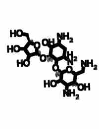 NCC1O[C@H](OC2C(N)CC(N)C(O)[C@H]2O[C@@H]2O[C@H](CO)C(O)C2O)C(O)C(N)[C@@H]1O